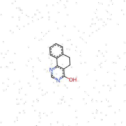 Oc1ncnc2c1CCc1ccccc1-2